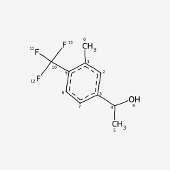 Cc1cc(C(C)O)ccc1C(F)(F)F